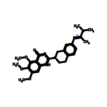 COc1cc2[nH]c(N3CCc4ccc(/N=C(\C)N(C)C)cc4C3)nc(=O)c2c(OC)c1OC